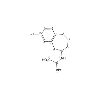 CCCC(NC1CCCc2ccc(F)cc2C1)C(=O)O